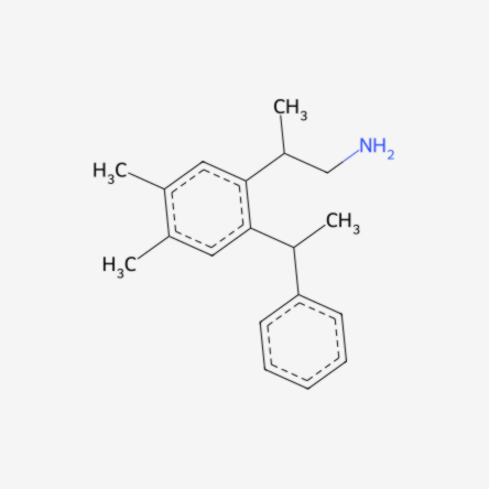 Cc1cc(C(C)CN)c(C(C)c2ccccc2)cc1C